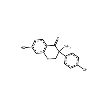 O=C1c2ccc(O)cc2OC[C]1([GeH3])c1ccc(O)cc1